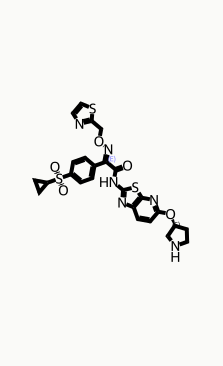 O=C(Nc1nc2ccc(O[C@H]3CCNC3)nc2s1)/C(=N/OCc1nccs1)c1ccc(S(=O)(=O)C2CC2)cc1